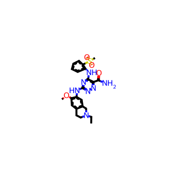 CCN1CCc2cc(OC)c(Nc3nnc(C(N)=O)c(Nc4ccccc4S(C)(=O)=O)n3)cc2C1